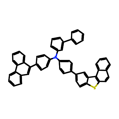 c1ccc(-c2cccc(N(c3ccc(-c4ccc5sc6ccc7ccccc7c6c5c4)cc3)c3ccc(-c4cc5ccccc5c5ccccc45)cc3)c2)cc1